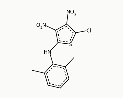 Cc1cccc(C)c1Nc1sc(Cl)c([N+](=O)[O-])c1[N+](=O)[O-]